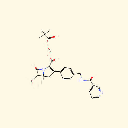 C[C@@H](O)[C@H]1C(=O)N2C(C(=O)OCOC(=O)C(C)(C)C)=C(c3ccc(CNC(=O)c4cccnc4)cc3)C[C@H]12